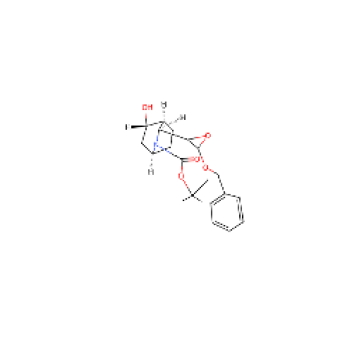 CC(C)(C)OC(=O)N1[C@H]2CC[C@@H]([C@H]1C1OC1OCc1ccccc1)[C@@H](O)C2